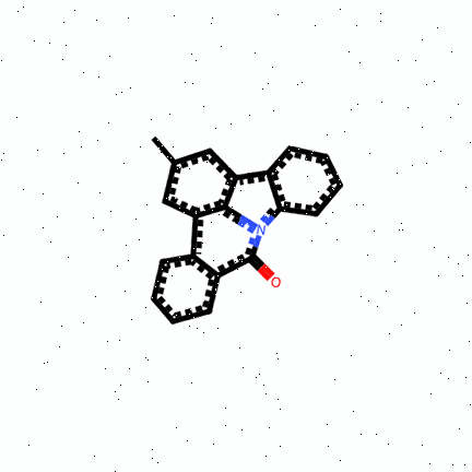 Cc1cc2c3ccccc3c(=O)n3c4ccccc4c(c1)c23